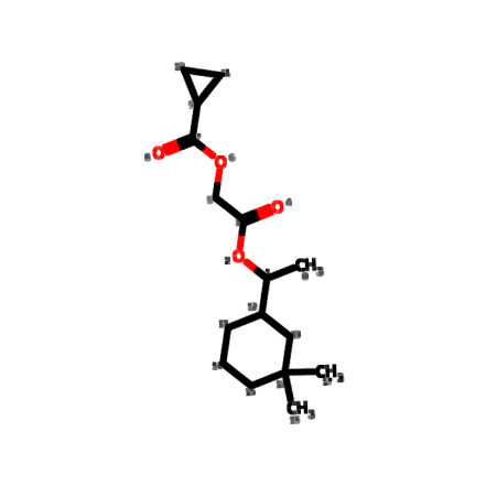 CC(OC(=O)COC(=O)C1CC1)C1CCCC(C)(C)C1